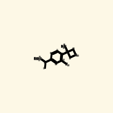 CCOC(=O)C(C)c1ccc(C2(N)COC2)c(F)c1